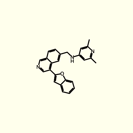 Cc1cc(NCc2ccc3cncc(-c4cc5ccccc5o4)c3c2)cc(C)n1